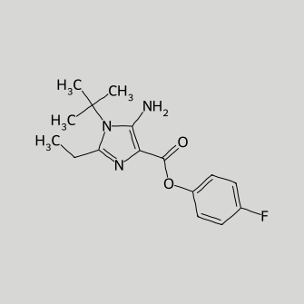 CCc1nc(C(=O)Oc2ccc(F)cc2)c(N)n1C(C)(C)C